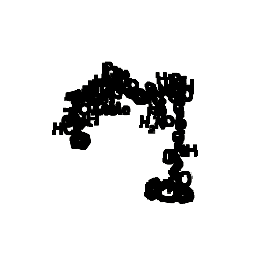 CC[C@H](C)[C@H]([C@@H](CC(=O)N1CCC[C@@H]1[C@H](OC)[C@H](C)C(=O)N[C@H](C)[C@@H](O)c1ccccc1)OC)N(C)C(=O)[C@@H](NC(=O)[C@@H](C(C)C)N(C)C(=O)OCc1ccc(NC(=O)[C@H](CCCNC(N)=O)NC(=O)[C@H](NC(=O)CCOCCOCCOCCNC(=O)CCC(=O)N2Cc3ccccc3/C=C\c3ccccc32)C(C)C)cc1)C(C)C